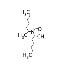 CCCCCC(C)N([C]=O)C(C)CCCCC